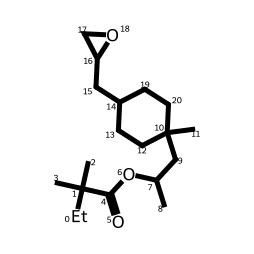 CCC(C)(C)C(=O)OC(C)CC1(C)CCC(CC2CO2)CC1